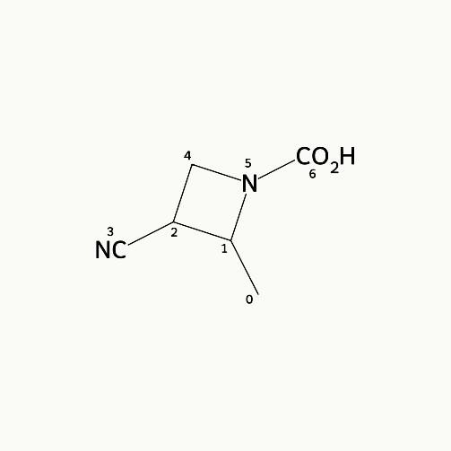 CC1C(C#N)CN1C(=O)O